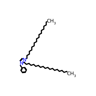 CCCCCCCCCCCCCCCCCCCC1N(CCCCCCCCCCCCCCCCCCC)C=CN1Cc1ccccc1